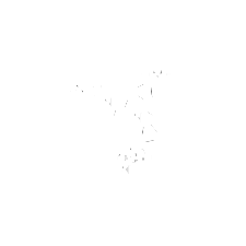 COc1ccc2c(c1)C=C(C(=O)N1CCOC(CN3CCCC3)C1)Cn1c-2c(C2CCCCC2)c2ccc(C(=O)NS(=O)(=O)N(C)C)cc21